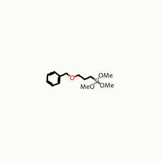 CO[Si](CCCOCc1ccccc1)(OC)OC